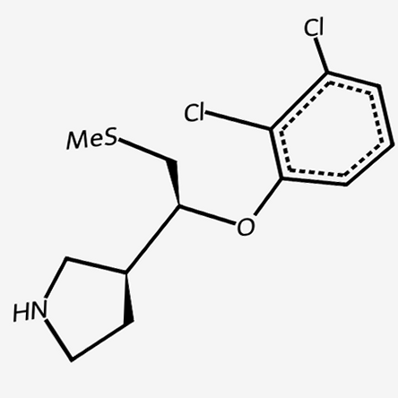 CSC[C@@H](Oc1cccc(Cl)c1Cl)[C@H]1CCNC1